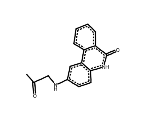 CC(=O)CNc1ccc2[nH]c(=O)c3ccccc3c2c1